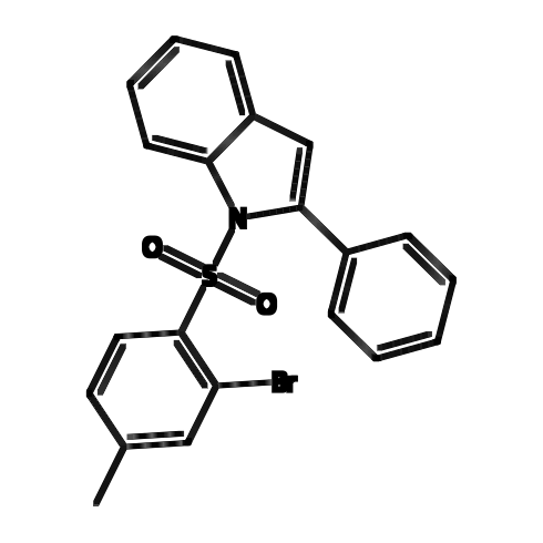 Cc1ccc(S(=O)(=O)n2c(-c3ccccc3)cc3ccccc32)c(Br)c1